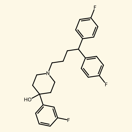 OC1(c2cccc(F)c2)CCN(CCCC(c2ccc(F)cc2)c2ccc(F)cc2)CC1